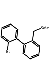 CCc1ccccc1-c1ccccc1CSC